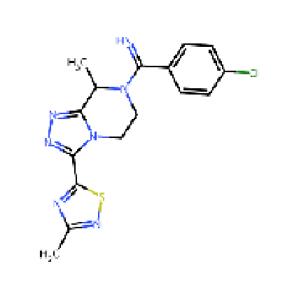 Cc1nsc(-c2nnc3n2CCN(C(=N)c2ccc(Cl)cc2)C3C)n1